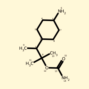 CC(C1CCC(N)CC1)C(C)(C)OC(N)=O